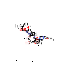 CCC(O)C(C)C1OC1CC(C)(O)/C=C/C=C(\C)C1OC(=O)CC(O)CCC(C)(OC)C(OC(=O)N2CCN(CCOC)CC2)/C=C/C1C